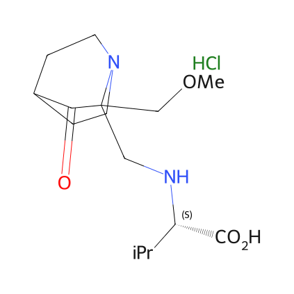 COCC1(CN[C@H](C(=O)O)C(C)C)C(=O)C2CCN1CC2.Cl